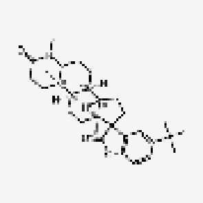 CN1C(=O)CC[C@@]2(C)C1CC[C@@H]1[C@H]2CC[C@@]2(C)[C@H]1CCC2(C(=O)O)c1cccc(C(C)(C)C)c1